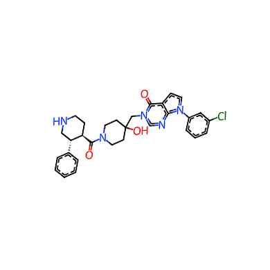 O=C([C@@H]1CCNC[C@H]1c1ccccc1)N1CCC(O)(Cn2cnc3c(ccn3-c3cccc(Cl)c3)c2=O)CC1